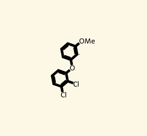 COc1[c]c(Oc2cccc(Cl)c2Cl)ccc1